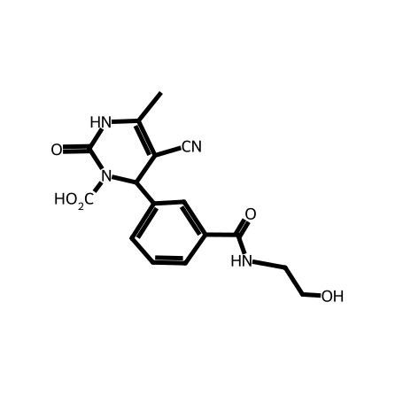 CC1=C(C#N)C(c2cccc(C(=O)NCCO)c2)N(C(=O)O)C(=O)N1